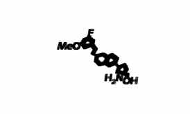 COc1cc(F)cc(CC[C@@H]2CCc3cc([C@H]4CC[C@](N)(CO)C4)ccc3C2)c1